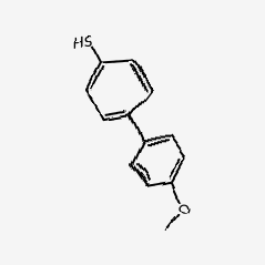 COc1ccc(-c2ccc(S)cc2)cc1